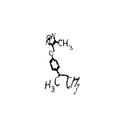 CCC(C)c1ccc(OCc2nonc2C)cc1